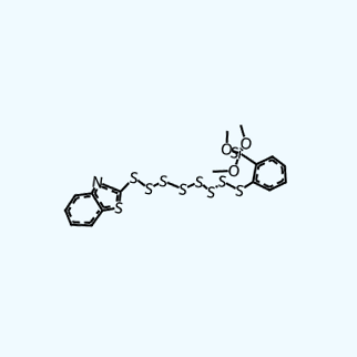 CO[Si](OC)(OC)c1ccccc1SSSSSSSSc1nc2ccccc2s1